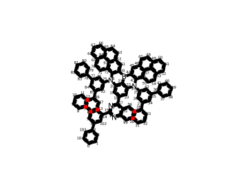 c1ccc(-c2cc(-c3ccccc3)cc(-c3nc(-c4cc5c6c(c4)N(c4cc(-c7ccccc7)cc(-c7ccccc7)c4)c4c(cc7ccc8cccc9ccc4c7c89)B6c4cc6ccc7cccc8ccc(c4N5c4cc(-c5ccccc5)cc(-c5ccccc5)c4)c6c78)c4ccccc4n3)c2)cc1